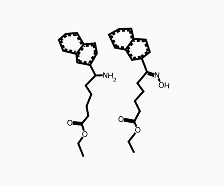 CCOC(=O)CCCCC(=NO)c1ccc2ccccc2c1.CCOC(=O)CCCCC(N)c1ccc2ccccc2c1